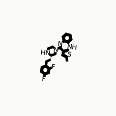 Cc1cc2c(s1)Nc1ccccc1N=C2N1CCN[C@@H](CCc2ccc(F)cc2F)C1